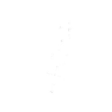 CCC(C#N)(CC)c1ccc(B2OC(C)(C)C(C)(C)O2)cc1